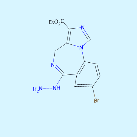 CCOC(=O)c1ncn2c1CN=C(NN)c1cc(Br)ccc1-2